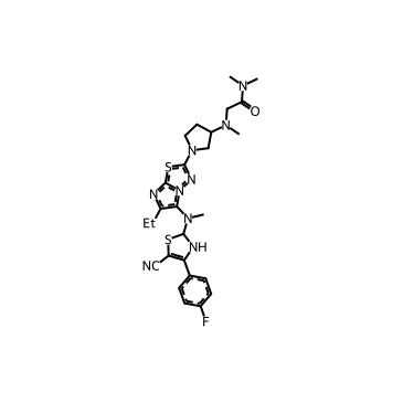 CCc1nc2sc(N3CCC(N(C)CC(=O)N(C)C)C3)nn2c1N(C)C1NC(c2ccc(F)cc2)=C(C#N)S1